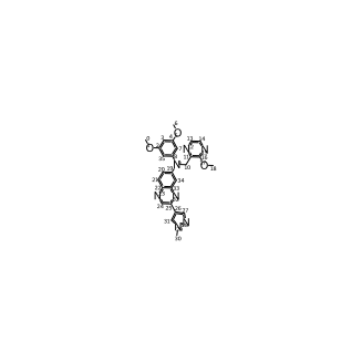 COc1cc(OC)cc(N(Cc2nccnc2OC)c2ccc3ncc(-c4cnn(C)c4)nc3c2)c1